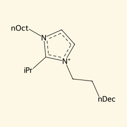 CCCCCCCCCCCC[n+]1ccn(CCCCCCCC)c1C(C)C